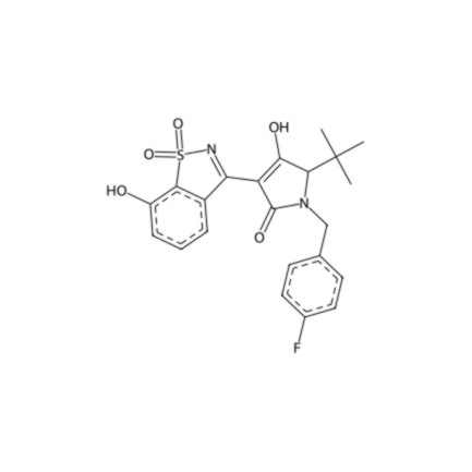 CC(C)(C)C1C(O)=C(C2=NS(=O)(=O)c3c(O)cccc32)C(=O)N1Cc1ccc(F)cc1